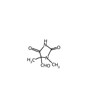 CN1C(=O)NC(=O)C1(C)C=O